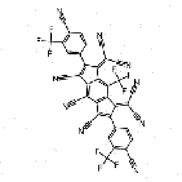 N#CC(C#N)=C1C(c2ccc(C#N)c(C(F)(F)F)c2)=C(C#N)c2c(C#N)c3c(c(C(F)(F)F)c21)C(=C(C#N)C#N)C(c1ccc(C#N)c(C(F)(F)F)c1)=C3C#N